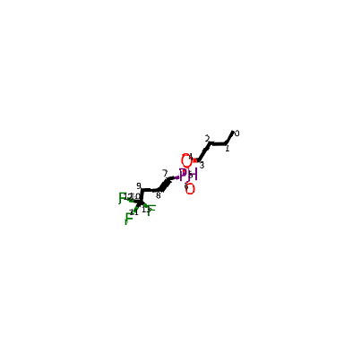 CCCCO[PH](=O)C=CCC(F)(F)F